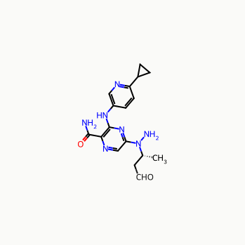 C[C@H](CC=O)N(N)c1cnc(C(N)=O)c(Nc2ccc(C3CC3)nc2)n1